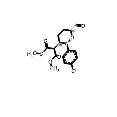 COC(=O)C(C(=O)OC)[C@H]1CC[C@H](C=O)ON1c1ccc(Cl)cc1